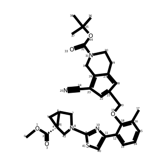 COC(=O)[C@]12CC1CN(c1nc(-c3cccc(C)c3OCc3cc(C#N)c4c(c3)CCN(C(=O)OC(C)(C)C)C4)cs1)C2